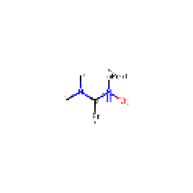 CCCCC[NH+]([O-])C(CC)N(C)C